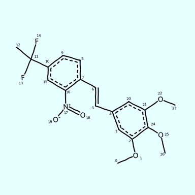 COc1cc(C=Cc2ccc(C(C)(F)F)cc2[N+](=O)[O-])cc(OC)c1OC